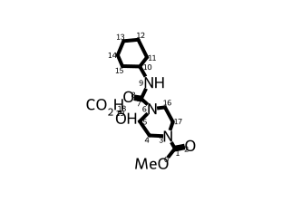 COC(=O)N1CCN(C(=O)NC2CCCCC2)CC1.O=C(O)O